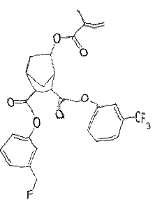 C=C(C)C(=O)OC1CC2CC1C(C(=O)Oc1cccc(C(F)(F)F)c1)C2C(=O)Oc1cccc(CF)c1